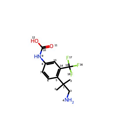 CC(C)(CN)c1ccc(NC(=O)O)cc1C(F)(F)F